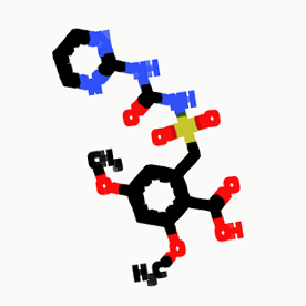 COc1cc(CS(=O)(=O)NC(=O)Nc2ncccn2)c(C(=O)O)c(OC)c1